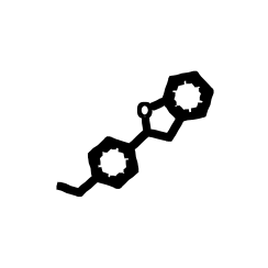 CCc1ccc(C2Cc3ccccc3O2)cc1